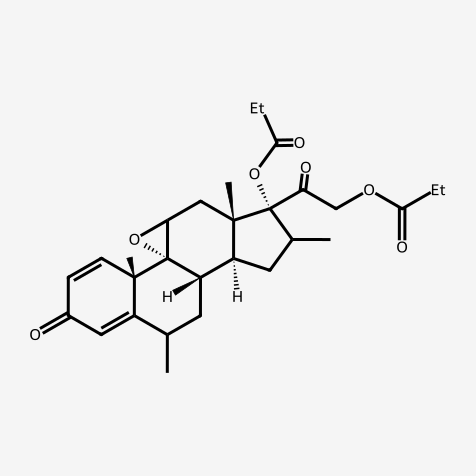 CCC(=O)OCC(=O)[C@@]1(OC(=O)CC)C(C)C[C@H]2[C@@H]3CC(C)C4=CC(=O)C=C[C@]4(C)[C@]34OC4C[C@@]21C